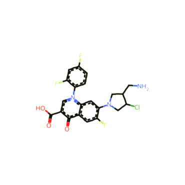 NCC1CN(c2cc3c(cc2F)c(=O)c(C(=O)O)cn3-c2ccc(F)cc2F)CC1Cl